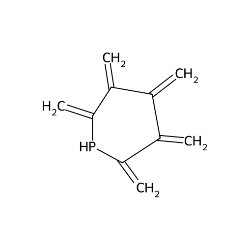 C=C1PC(=C)C(=C)C(=C)C1=C